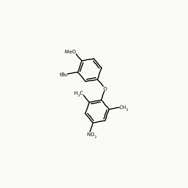 COc1ccc(Oc2c(C)cc([N+](=O)[O-])cc2C)cc1C(C)(C)C